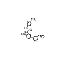 Cc1ccc(NC(=O)c2n[nH]c3ccc(-c4cncc(CN5CCC5)c4)cc23)cn1